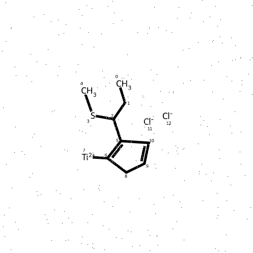 CCC(SC)C1=[C]([Ti+2])CC=C1.[Cl-].[Cl-]